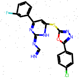 N=C/N=c1/nc(-c2cccc(F)c2)cc(Sc2nnc(-c3ccc(Cl)cc3)o2)[nH]1